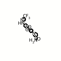 NC(=O)N1CCCN(c2ccc(S(=O)(=O)N3CCC(Nc4ccc(C(F)(F)F)cn4)CC3)cc2)CC1